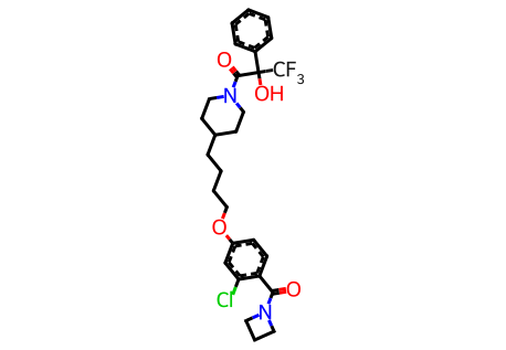 O=C(c1ccc(OCCCCC2CCN(C(=O)C(O)(c3ccccc3)C(F)(F)F)CC2)cc1Cl)N1CCC1